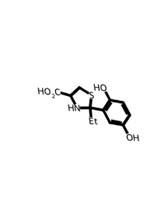 CCC1(c2cc(O)ccc2O)NC(C(=O)O)CS1